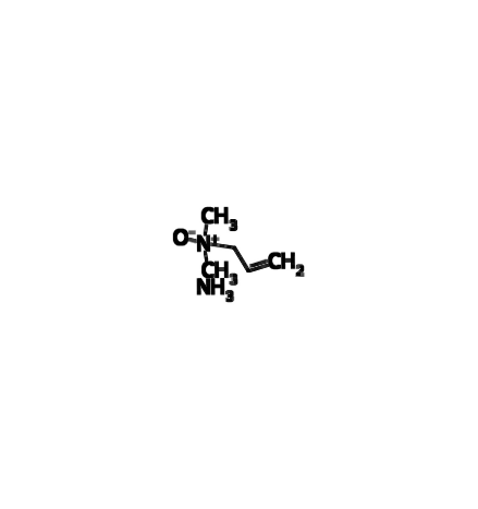 C=CC[N+](C)(C)[O-].N